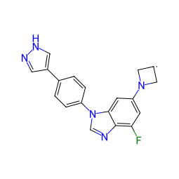 Fc1cc(N2C[CH]C2)cc2c1ncn2-c1ccc(-c2cn[nH]c2)cc1